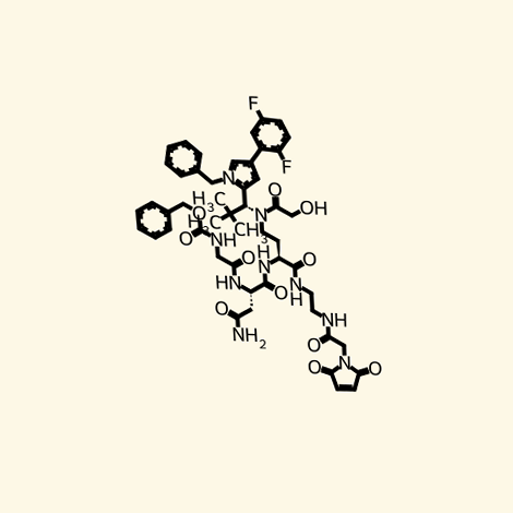 CC(C)(C)[C@H](c1cc(-c2cc(F)ccc2F)cn1Cc1ccccc1)N(CC[C@H](NC(=O)[C@H](CC(N)=O)NC(=O)CNC(=O)OCc1ccccc1)C(=O)NCCNC(=O)CN1C(=O)C=CC1=O)C(=O)CO